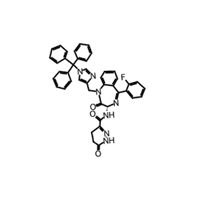 O=C1CCC(C(=O)N[C@H]2N=C(c3ccccc3F)c3ccccc3N(Cc3cn(C(c4ccccc4)(c4ccccc4)c4ccccc4)cn3)C2=O)=NN1